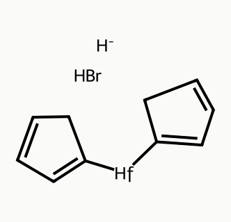 Br.C1=CC[C]([Hf][C]2=CC=CC2)=C1.[H-]